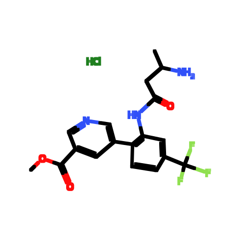 COC(=O)c1cncc(-c2ccc(C(F)(F)F)cc2NC(=O)CC(C)N)c1.Cl